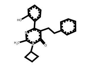 Cc1nc(-c2ccccc2O)c(CCc2ccccc2)c(=O)n1C1CCC1